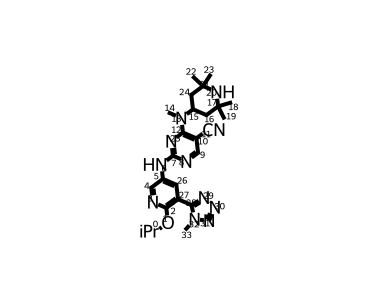 CC(C)Oc1ncc(Nc2ncc(C#N)c(N(C)C3CC(C)(C)NC(C)(C)C3)n2)cc1-c1nnnn1C